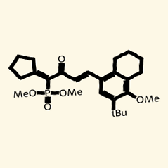 COc1c(C(C)(C)C)cc(C=CC(=O)C(=C2CCCC2)P(=O)(OC)OC)c2c1CCCC2